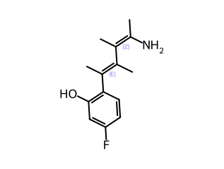 C/C(N)=C(C)/C(C)=C(\C)c1ccc(F)cc1O